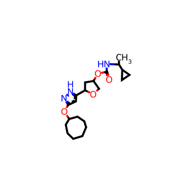 CC(NC(=O)OC1COC(c2cc(OC3CCCCCCC3)n[nH]2)C1)C1CC1